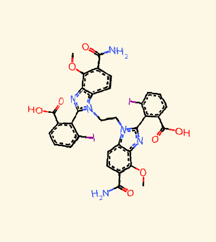 COc1c(C(N)=O)ccc2c1nc(-c1c(I)cccc1C(=O)O)n2CCn1c(-c2c(I)cccc2C(=O)O)nc2c(OC)c(C(N)=O)ccc21